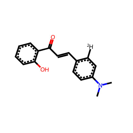 [2H]c1cc(N(C)C)ccc1C=CC(=O)c1ccccc1O